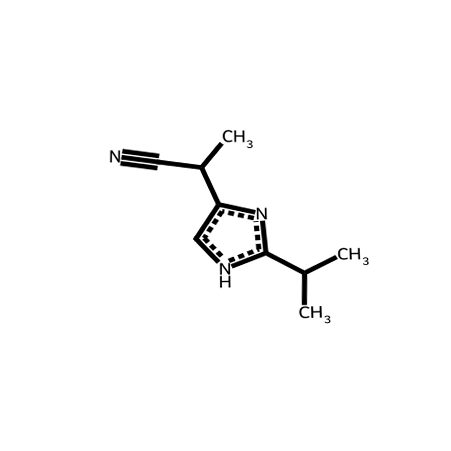 CC(C)c1nc(C(C)C#N)c[nH]1